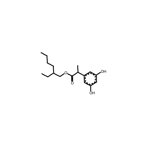 CCCCC(CC)COC(=O)C(C)c1cc(O)cc(O)c1